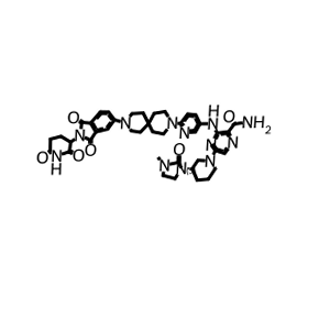 CN1CCN([C@H]2CCCN(c3cnc(C(N)=O)c(Nc4ccc(N5CCC6(CCN(c7ccc8c(c7)C(=O)N(C7CCC(=O)NC7=O)C8=O)CC6)CC5)nc4)n3)C2)C1=O